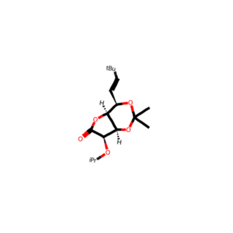 CC(C)O[C@H]1C(=O)O[C@@H]2[C@H]1OC(C)(C)O[C@@H]2/C=C/C(C)(C)C